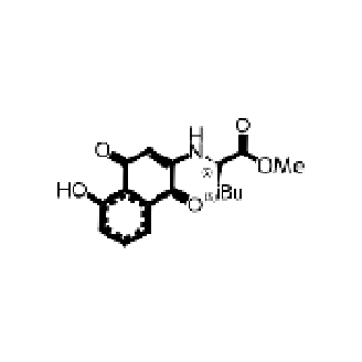 CC[C@H](C)[C@H](NC1=CC(=O)c2c(O)cccc2C1=O)C(=O)OC